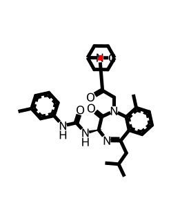 Cc1cccc(NC(=O)N[C@@H]2N=C(CC(C)C)c3cccc(C)c3N(CC(=O)N3CC4CCC(CC4)C3)C2=O)c1